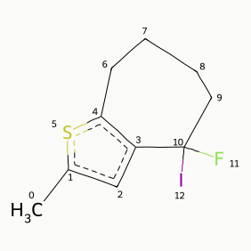 Cc1cc2c(s1)CCCCC2(F)I